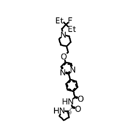 CCC(F)(CC)CN1CCC(COc2cnc(-c3ccc(C(=O)NC(=O)[C@@H]4CCCN4)cc3)nc2)CC1